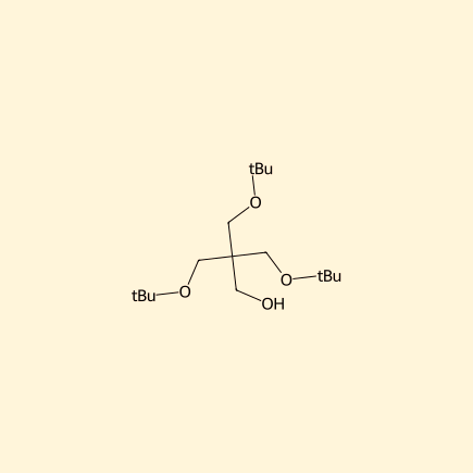 CC(C)(C)OCC(CO)(COC(C)(C)C)COC(C)(C)C